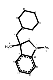 CC(=O)N1CC(C)(CC2CCCCC2)c2ccccc21